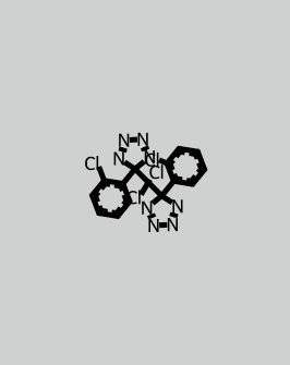 Clc1ccccc1C1(C(Cl)(Cl)C2(c3ccccc3Cl)N=NN=N2)N=NN=N1